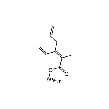 C=CCC(C=C)=C(C)C(=O)OCCCCC